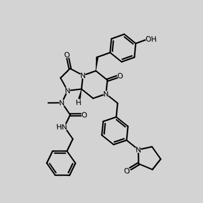 CN(C(=O)NCc1ccccc1)N1CC(=O)N2[C@@H](Cc3ccc(O)cc3)C(=O)N(Cc3cccc(N4CCCC4=O)c3)C[C@@H]21